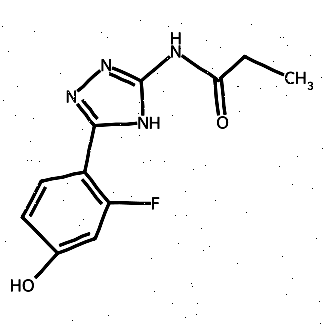 CCC(=O)Nc1nnc(-c2ccc(O)cc2F)[nH]1